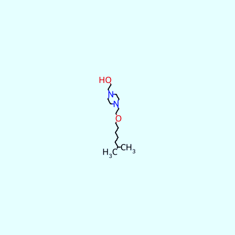 CC(C)CCCCCOCCN1CCN(CCO)CC1